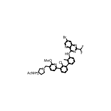 COc1nc(-c2cccc(-c3cccc(Nc4nc(C(F)F)nc5cc(Br)cnc45)c3C)c2Cl)ccc1CN1CC[C@@H](NC(C)=O)C1